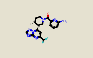 C[C@@H]1CCN(C(=O)c2cccc(N)n2)C[C@H]1c1cc(C(F)F)nc2ncnn12